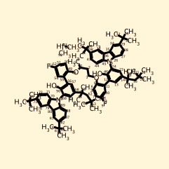 CC(CCOc1ccc(F)cc1-c1cc(C(C)(C)CC(C)(C)C)cc(-n2c3ccc(C(C)(C)C)cc3c3cc(C(C)(C)C)ccc32)c1O)Oc1ccc(F)cc1-c1cc(C(C)(C)CC(C)(C)C)cc(-n2c3ccc(C(C)(C)C)cc3c3cc(C(C)(C)C)ccc32)c1O.[CH3][Hf][CH3]